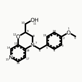 COc1ccc(CN2CC(CO)Oc3cnccc32)cc1